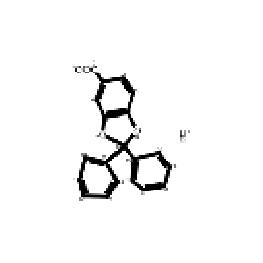 O=C([O-])c1ccc2c(c1)OC(c1ccccc1)(c1ccccc1)O2.[Li+]